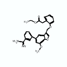 CCOC(=O)Cc1ccccc1OCc1coc2c(OC)cc(-c3cccc(C(=N)N)c3)cc12